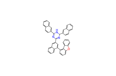 c1ccc2cc(C3=NC(c4cc(-c5cccc6oc7ccccc7c56)c5ccccc5c4)=NC(c4ccc5ccccc5c4)N3)ccc2c1